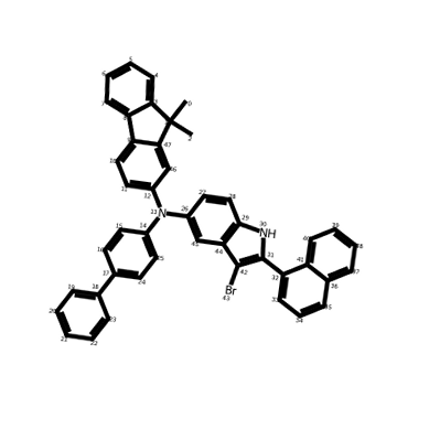 CC1(C)c2ccccc2-c2ccc(N(c3ccc(-c4ccccc4)cc3)c3ccc4[nH]c(-c5cccc6ccccc56)c(Br)c4c3)cc21